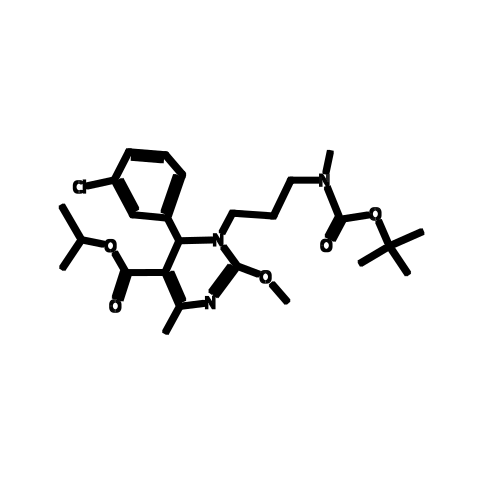 COC1=NC(C)=C(C(=O)OC(C)C)C(c2cccc(Cl)c2)N1CCCN(C)C(=O)OC(C)(C)C